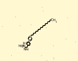 CCCCCCCCCCCCCCCCCCN1CCN(c2ccc(CC(=N)NO)cc2)CC1